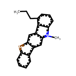 CCCc1cccc2c1c1cc3sc4ccccc4c3cc1n2C